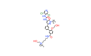 CCn1nc(-c2cccc(-c3cc(C(=O)NCCCCCN(C)CCO)ccc3OCCO)c2)cc(NC(=O)Nc2c(Cl)cncc2Cl)c1=O